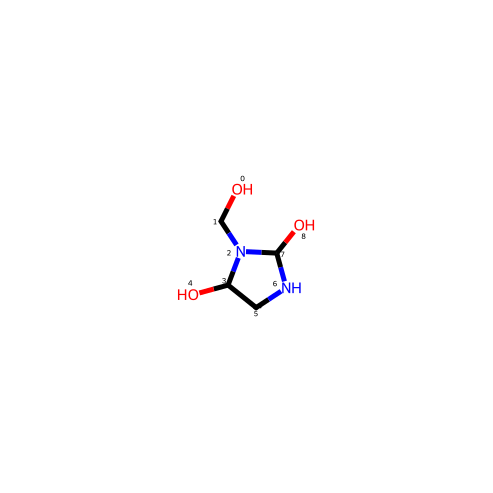 OCN1C(O)[CH]NC1O